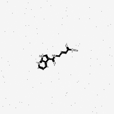 COC(=O)/C=C/CNC(=O)c1c[nH]c2ncccc12